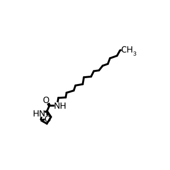 CCCCCCCCCCCCCCCCNC(=O)C12CCC(N1)O2